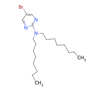 CCCCCCCCN(CCCCCCCC)c1ncc(Br)cn1